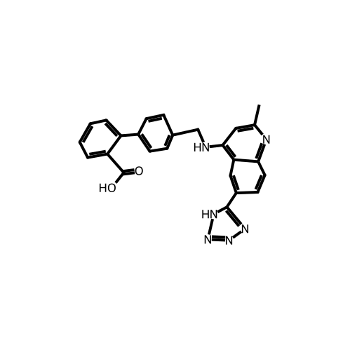 Cc1cc(NCc2ccc(-c3ccccc3C(=O)O)cc2)c2cc(-c3nnn[nH]3)ccc2n1